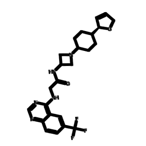 O=C(CNc1ncnc2ccc(C(F)(F)F)cc12)NC1CN(C2CCC([C@H]3C=CCO3)CC2)C1